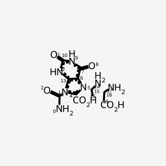 NC(=O)n1cnc2c(=O)[nH]c(=O)[nH]c21.NCC(=O)O.NCC(=O)O